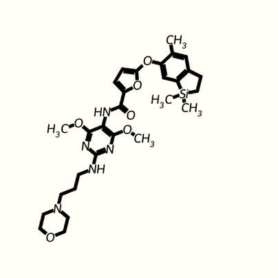 COc1nc(NCCCN2CCOCC2)nc(OC)c1NC(=O)c1ccc(Oc2cc3c(cc2C)CC[Si]3(C)C)o1